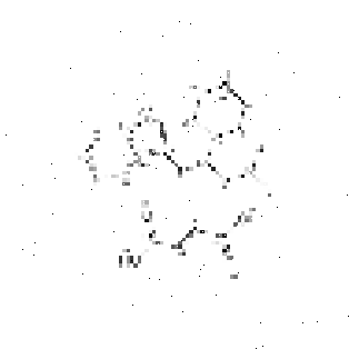 CC(C)CN(Cc1csc2ccccc12)C1CCNCC1.O=C(O)C=CC(=O)O